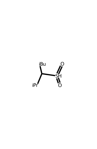 CCC(C)C(C(C)C)[SH](=O)=O